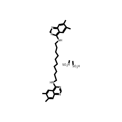 CS(=O)(=O)O.CS(=O)(=O)O.Cc1cc2ncnc(NCCCCCCCCCCNc3ncnc4cc(C)c(C)cc34)c2cc1C